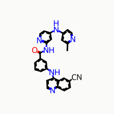 Cc1cc(Nc2ccnc(NC(=O)c3cccc(Nc4ccnc5ccc(C#N)cc45)c3)c2)ccn1